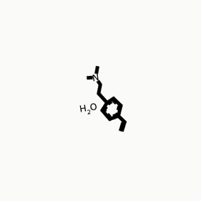 C=Cc1ccc(CCN(C)C)cc1.O